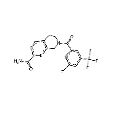 NC(=O)c1n[c]c2c(n1)CN(C(=O)c1cc(F)cc(C(F)(F)F)c1)CC2